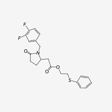 O=C(CC1CCC(=O)N1Cc1ccc(F)c(F)c1)OCCSc1ccccc1